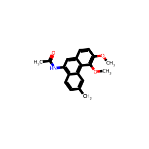 COc1ccc2cc(NC(C)=O)c3ccc(C)cc3c2c1OC